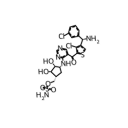 N[C@H](c1cccc(Cl)c1)c1csc(C(=O)c2cncnc2N[C@@H]2C[C@H](COS(N)(=O)=O)[C@@H](O)[C@H]2O)c1Cl